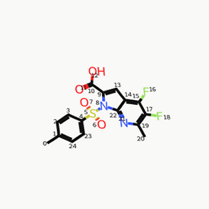 Cc1ccc(S(=O)(=O)n2c(C(=O)O)cc3c(F)c(F)c(C)nc32)cc1